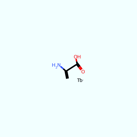 C=C(N)C(=O)O.[Tb]